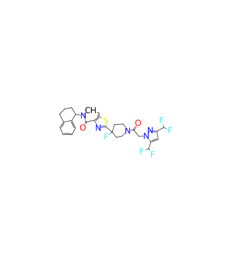 CN(C(=O)c1csc(C2(F)CCN(C(=O)Cn3nc(C(F)F)cc3C(F)F)CC2)n1)C1CCCc2ccccc21